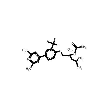 Cc1cc(-c2ccc(OC[C@](C)(CC(C)C)OC(N)=O)c(C(F)(F)F)c2)nc(C)n1